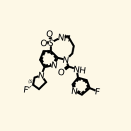 O=C(Nc1cncc(F)c1)N1CCCNS(=O)(=O)c2ccc(N3CC[C@H](F)C3)nc21